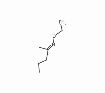 CCC/C(C)=N/OCP